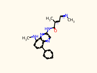 C/N=C\C=C(/C)C(=O)Nc1cnc2c(-c3ccccc3)ccc(NC)c2n1